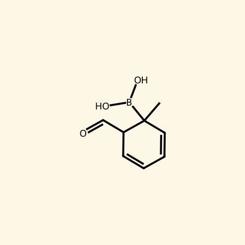 CC1(B(O)O)C=CC=CC1C=O